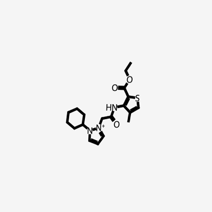 CCOC(=O)c1scc(C)c1NC(=O)C[n+]1cccn1C1CCCCC1